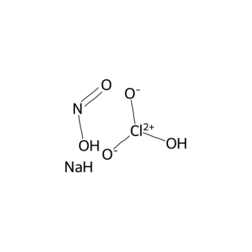 O=NO.[NaH].[O-][Cl+2]([O-])O